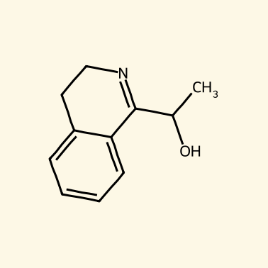 CC(O)C1=NCCc2ccccc21